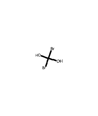 OC(O)(Br)Br